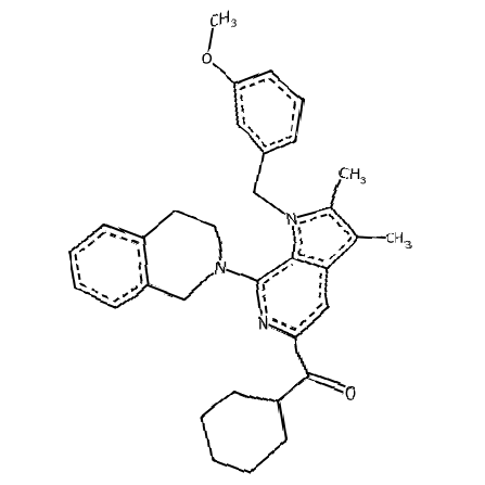 COc1cccc(Cn2c(C)c(C)c3cc(C(=O)C4CCCCC4)nc(N4CCc5ccccc5C4)c32)c1